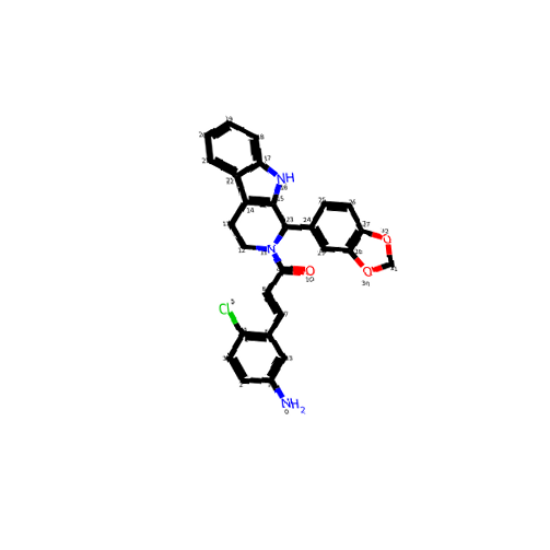 Nc1ccc(Cl)c(/C=C/C(=O)N2CCc3c([nH]c4ccccc34)C2c2ccc3c(c2)OCO3)c1